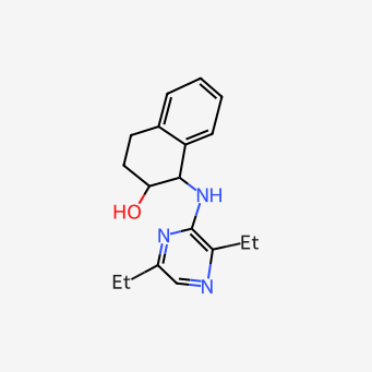 CCc1cnc(CC)c(NC2c3ccccc3CCC2O)n1